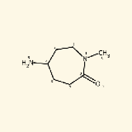 CN1CCC(N)CCC1=O